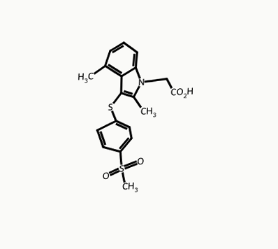 Cc1cccc2c1c(Sc1ccc(S(C)(=O)=O)cc1)c(C)n2CC(=O)O